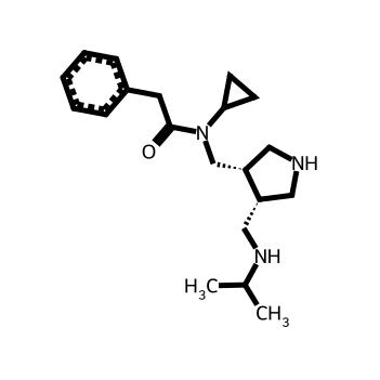 CC(C)NC[C@H]1CNC[C@H]1CN(C(=O)Cc1ccccc1)C1CC1